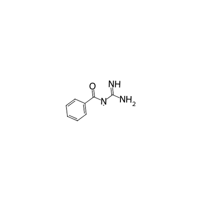 N=C(N)[N]C(=O)c1ccccc1